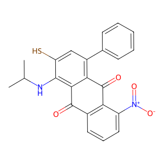 CC(C)Nc1c(S)cc(-c2ccccc2)c2c1C(=O)c1cccc([N+](=O)[O-])c1C2=O